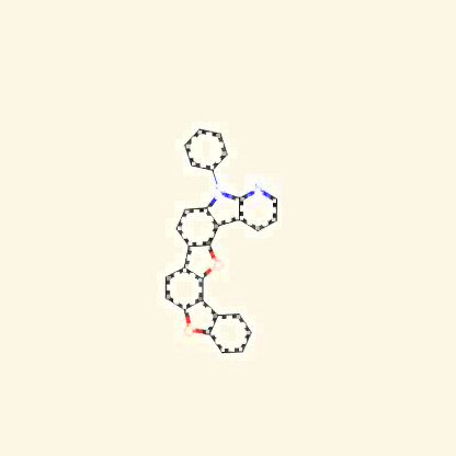 c1ccc(-n2c3ccc4c5ccc6oc7ccccc7c6c5oc4c3c3cccnc32)cc1